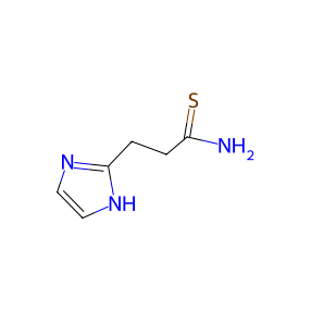 NC(=S)CCc1ncc[nH]1